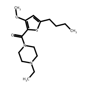 CCCCc1cc(OC)c(C(=O)N2CCN(CC)CC2)s1